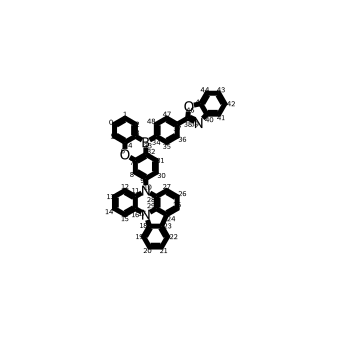 c1ccc2c(c1)Oc1cc(N3c4ccccc4-n4c5ccccc5c5cccc3c54)ccc1B2c1ccc(-c2nc3ccccc3o2)cc1